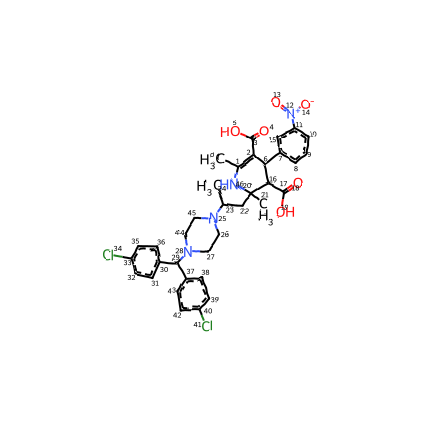 CC1=C(C(=O)O)C(c2cccc([N+](=O)[O-])c2)C(C(=O)O)C(C)(CC(C)N2CCN(C(c3ccc(Cl)cc3)c3ccc(Cl)cc3)CC2)N1